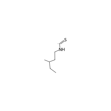 CCC(C)CCN[C]=S